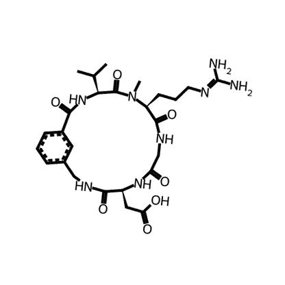 CC(C)[C@@H]1NC(=O)c2cccc(c2)CNC(=O)[C@H](CC(=O)O)NC(=O)CNC(=O)[C@H](CCCN=C(N)N)N(C)C1=O